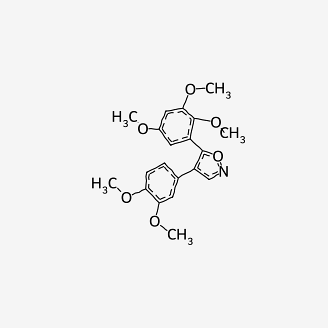 COc1cc(OC)c(OC)c(-c2oncc2-c2ccc(OC)c(OC)c2)c1